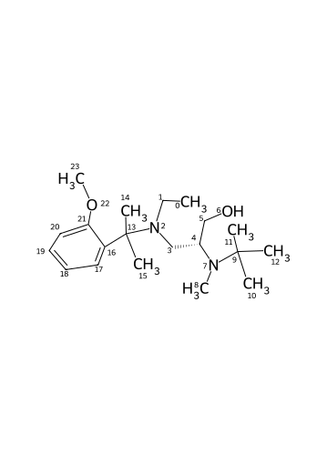 CCN(C[C@H](CO)N(C)C(C)(C)C)C(C)(C)c1ccccc1OC